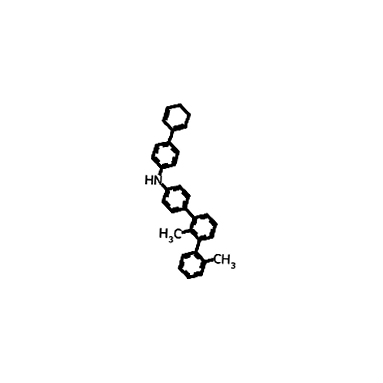 Cc1ccccc1-c1cccc(-c2ccc(Nc3ccc(C4=CCCC=C4)cc3)cc2)c1C